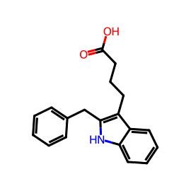 O=C(O)CCCc1c(Cc2ccccc2)[nH]c2ccccc12